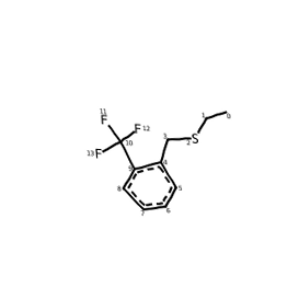 CCSCc1ccccc1C(F)(F)F